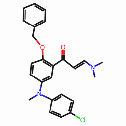 CN(C)C=CC(=O)c1cc(N(C)c2ccc(Cl)cc2)ccc1OCc1ccccc1